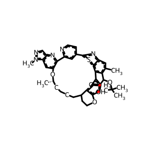 Cc1cc2nc3sc2c(c1C(OC(C)(C)C)C(=O)O)-c1ccc2c(c1)C(CCCC[C@H](C)Oc1cc4c(cnn4C)nc1-c1cc-3ccn1)CCO2